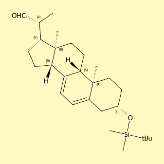 C[C@@H](C=O)[C@H]1CC[C@H]2C3=CC=C4C[C@@H](O[Si](C)(C)C(C)(C)C)CC[C@]4(C)[C@H]3CC[C@]12C